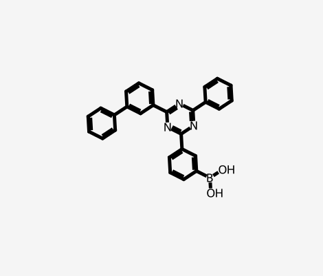 OB(O)c1cccc(-c2nc(-c3ccccc3)nc(-c3cccc(-c4ccccc4)c3)n2)c1